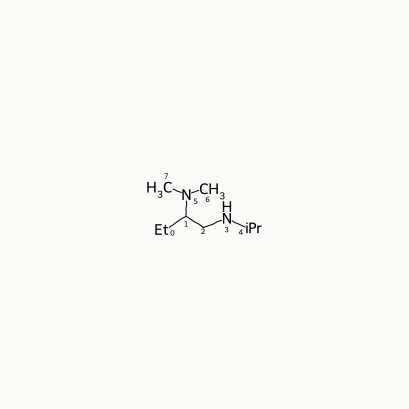 CCC(CNC(C)C)N(C)C